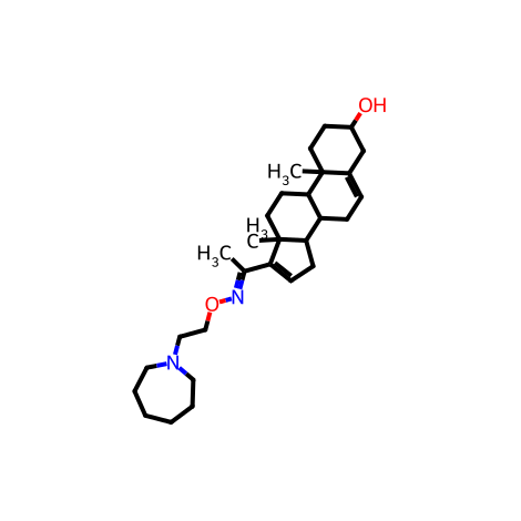 C/C(=N\OCCN1CCCCCC1)C1=CCC2C3CC=C4CC(O)CCC4(C)C3CCC12C